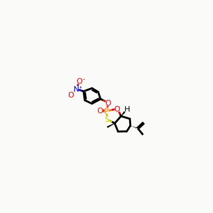 C=C(C)[C@@H]1CC[C@]2(C)SP(=O)(Oc3ccc([N+](=O)[O-])cc3)O[C@@H]2C1